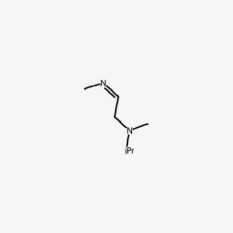 C/N=C\CN(C)C(C)C